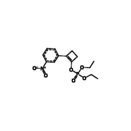 CCOP(=O)(OCC)OC1=C(c2cccc([N+](=O)[O-])c2)CC1